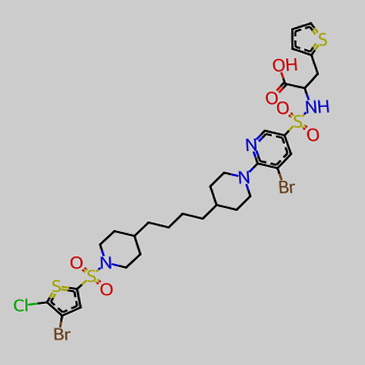 O=C(O)C(Cc1cccs1)NS(=O)(=O)c1cnc(N2CCC(CCCCC3CCN(S(=O)(=O)c4cc(Br)c(Cl)s4)CC3)CC2)c(Br)c1